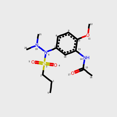 CCCS(=O)(=O)N(c1ccc(OC)c(NC(C)=O)c1)N(C)C